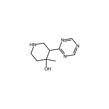 CC1(O)CCNCC1c1ncncn1